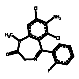 CN1C(=O)CN=C(c2ccccc2F)c2c1cc(Cl)c(N)c2Cl